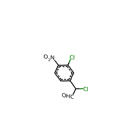 O=CC(Cl)c1ccc([N+](=O)[O-])c(Cl)c1